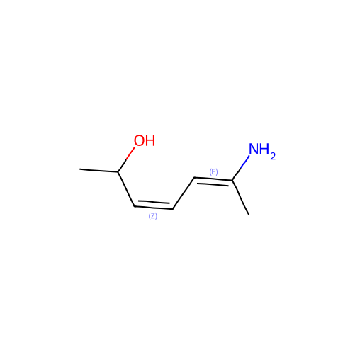 C/C(N)=C\C=C/C(C)O